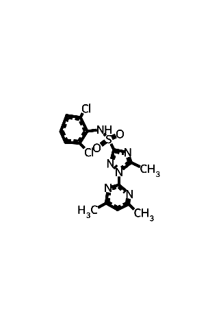 Cc1cc(C)nc(-n2nc(S(=O)(=O)Nc3c(Cl)cccc3Cl)nc2C)n1